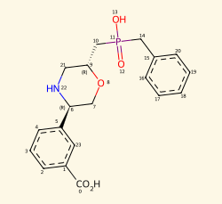 O=C(O)c1cccc([C@@H]2CO[C@@H](CP(=O)(O)Cc3ccccc3)CN2)c1